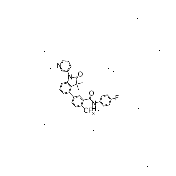 CC1(C)C(=O)N(c2cccnc2)c2cccc(-c3ccc(C(F)(F)F)c(C(=O)Nc4ccc(F)cc4)c3)c21